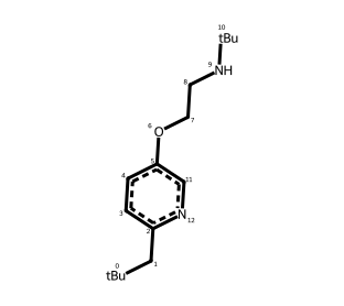 CC(C)(C)Cc1ccc(OCCNC(C)(C)C)cn1